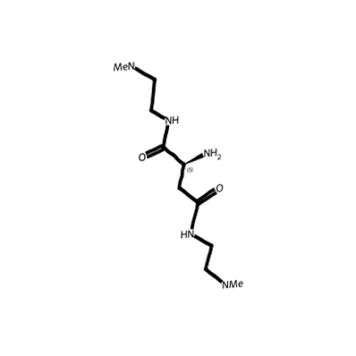 CNCCNC(=O)C[C@H](N)C(=O)NCCNC